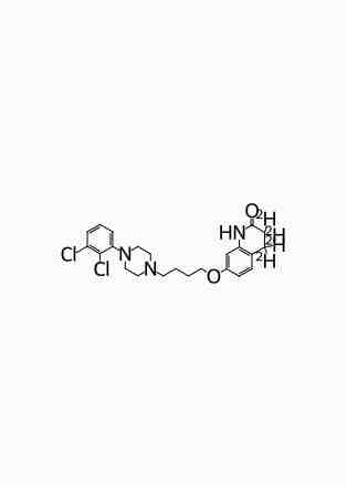 [2H]C1([2H])C(=O)Nc2cc(OCCCCN3CCN(c4cccc(Cl)c4Cl)CC3)ccc2C1([2H])[2H]